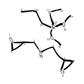 C(NCC1CO1)C1CO1.CCC[Si](OC)(OC)OC